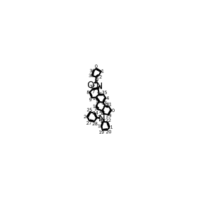 c1ccc(-c2nc3c(ccc4c5ccc6c(N(c7ccccc7)c7ccccc7)cccc6c5ccc43)o2)cc1